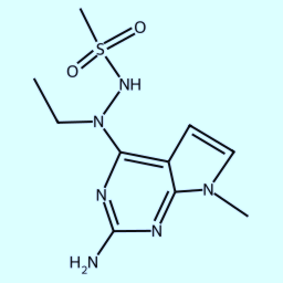 CCN(NS(C)(=O)=O)c1nc(N)nc2c1ccn2C